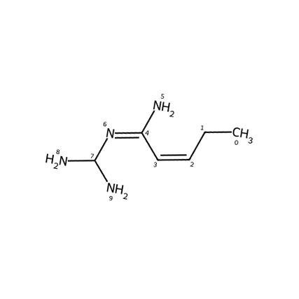 CC/C=C\C(N)=N/C(N)N